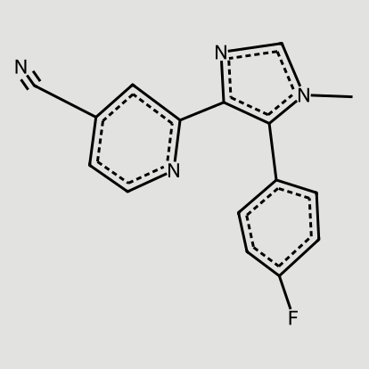 Cn1cnc(-c2cc(C#N)ccn2)c1-c1ccc(F)cc1